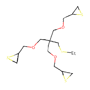 CCSCC(COCC1CS1)(COCC1CS1)COCC1CS1